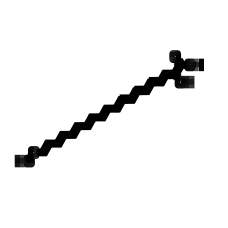 O=C(O)C(O)=CC=CC=CC=CCCCCCCCCCCCOO